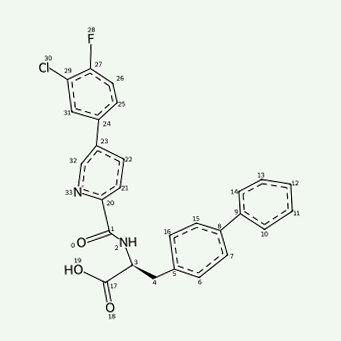 O=C(N[C@@H](Cc1ccc(-c2ccccc2)cc1)C(=O)O)c1ccc(-c2ccc(F)c(Cl)c2)cn1